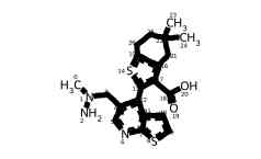 CN(N)Cc1cnc2sccc2c1-c1sc2c(c1C(=O)O)CC(C)(C)CC2